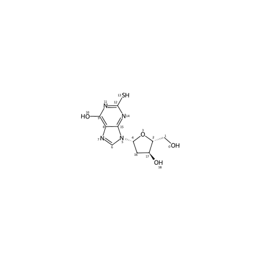 OC[C@H]1O[C@@H](n2cnc3c(O)nc(S)nc32)C[C@@H]1O